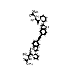 COC(=O)N[C@H](C(=O)N1CCCC[C@H]1c1nc2cc(C#Cc3ccc4[nH]c([C@@H]5CCCN5C(=O)[C@@H](NC(=O)OC)C(C)C)nc4c3)ccc2[nH]1)C(C)C